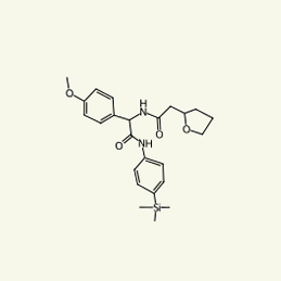 COc1ccc(C(NC(=O)CC2CCCO2)C(=O)Nc2ccc([Si](C)(C)C)cc2)cc1